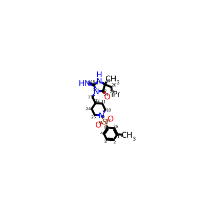 Cc1cccc(S(=O)(=O)N2CCC(CN3C(=N)NC(C)(CC(C)C)C3=O)CC2)c1